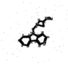 CC(C)(C)C1CN(Cn2c3ccccc3c3cnccc32)C1